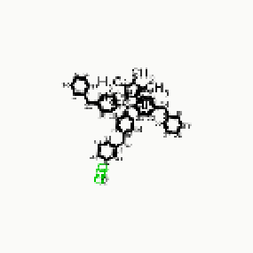 CC1=C(C)C(C)([Si](c2ccc(Cc3ccccc3)cc2)(c2ccc(Cc3ccccc3)cc2)c2ccc(Cc3ccccc3)cc2)[C]([Ti+3])=C1C.[Cl-].[Cl-].[Cl-]